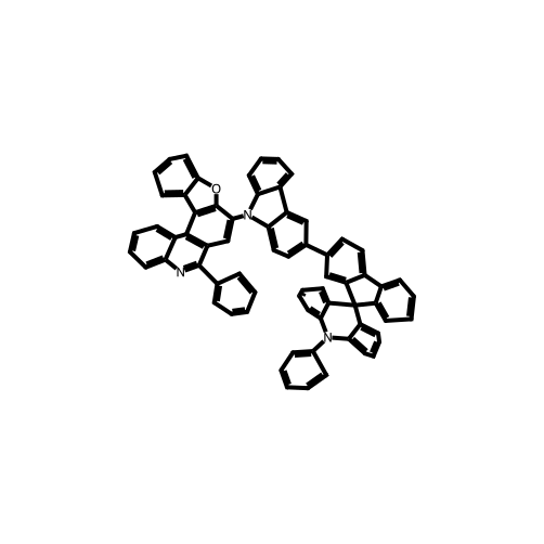 c1ccc(-c2nc3ccccc3c3c2cc(-n2c4ccccc4c4cc(-c5ccc6c(c5)C5(c7ccccc7-6)c6ccccc6N(c6ccccc6)c6ccccc65)ccc42)c2oc4ccccc4c23)cc1